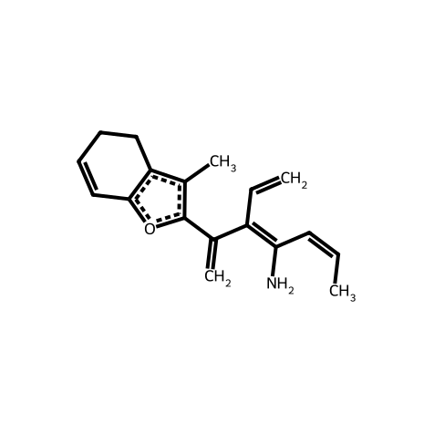 C=C/C(C(=C)c1oc2c(c1C)CCC=C2)=C(N)\C=C/C